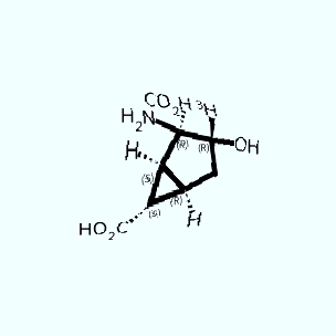 [3H][C@@]1(O)C[C@H]2[C@H](C(=O)O)[C@H]2[C@]1(N)C(=O)O